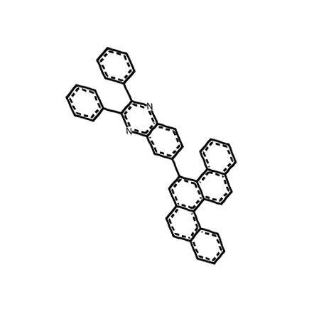 c1ccc(-c2nc3ccc(-c4cc5ccc6ccccc6c5c5ccc6ccccc6c45)cc3nc2-c2ccccc2)cc1